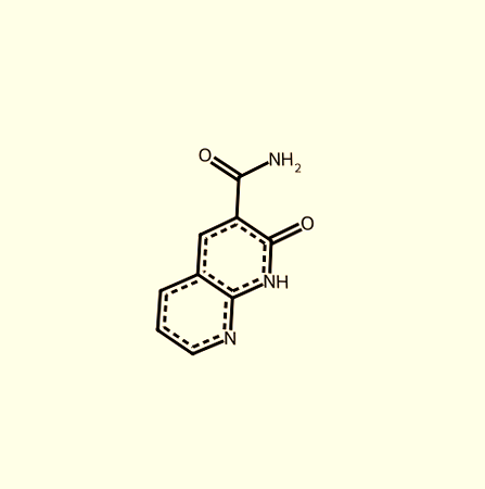 NC(=O)c1cc2cccnc2[nH]c1=O